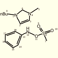 CCCCN1C=CN(C)C1.CS(=O)(=O)ONc1ccccc1